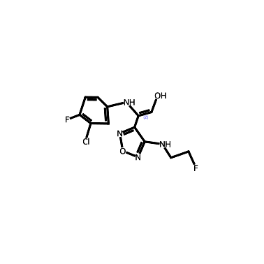 O/C=C(\Nc1ccc(F)c(Cl)c1)c1nonc1NCCF